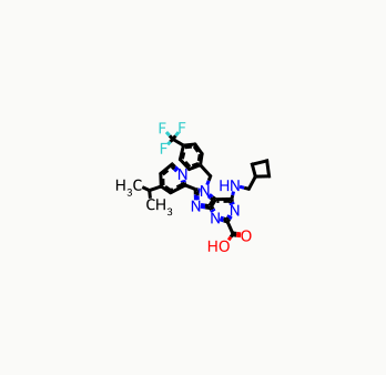 CC(C)c1ccnc(-c2nc3nc(C(=O)O)nc(NCC4CCC4)c3n2Cc2ccc(C(F)(F)F)cc2)c1